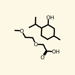 CC1CCC(C(C)C)C(O)C1.COCCOCC(=O)O